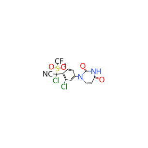 N#CC(Cl)(c1ccc(-n2ccc(=O)[nH]c2=O)cc1Cl)S(=O)(=O)C(F)(F)F